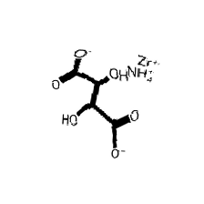 O=C([O-])C(O)C(O)C(=O)[O-].[NH4+].[Zr+]